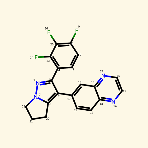 Fc1ccc(-c2nn3c(c2-c2ccc4nccnc4c2)CCC3)c(F)c1F